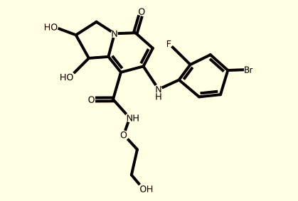 O=C(NOCCO)c1c(Nc2ccc(Br)cc2F)cc(=O)n2c1C(O)C(O)C2